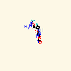 N/C(=N/C(F)F)O[C@@H]1C[C@@H]1c1cc(NC(=O)c2cnc(OCc3cocn3)cn2)ccc1F